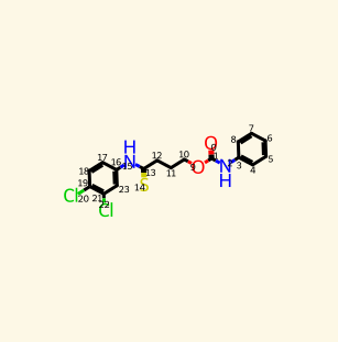 O=C(Nc1ccccc1)OCCCC(=S)Nc1ccc(Cl)c(Cl)c1